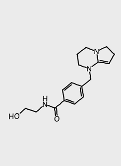 O=C(NCCO)c1ccc(CN2CCCN3CCC=C32)cc1